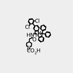 O=C(CC1CCN(C(=O)O)CC1)Nc1nn(C(c2ccccc2)(c2ccccc2)c2ccccc2)c2ccc(-c3c(Cl)cccc3Cl)cc12